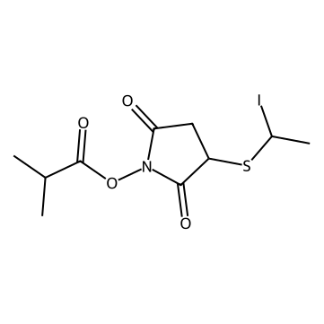 CC(I)SC1CC(=O)N(OC(=O)C(C)C)C1=O